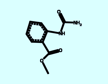 COC(=O)c1ccccc1NC(N)=O